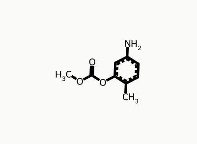 COC(=O)Oc1cc(N)ccc1C